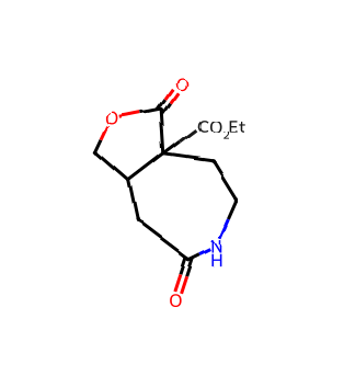 CCOC(=O)C12CCNC(=O)CC1COC2=O